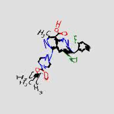 Cc1nc(N2CCN(C(=O)OC(C)(C)C)CC2)c2cc(Cl)c(-c3ccccc3F)nc2c1C(=O)O